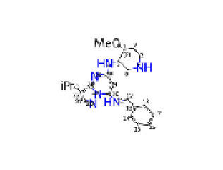 CO[C@@H]1CCNCC1Nc1cc(NCc2ccccc2)n2ncc(C(C)C)c2n1